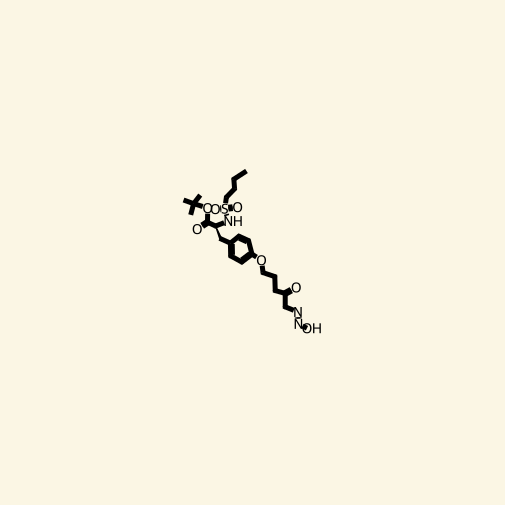 CCCCS(=O)(=O)N[C@@H](Cc1ccc(OCCCC(=O)CN=NO)cc1)C(=O)OC(C)(C)C